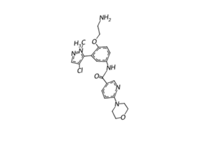 Cn1ncc(Cl)c1-c1cc(NC(=O)c2ccc(N3CCOCC3)nc2)ccc1OCCN